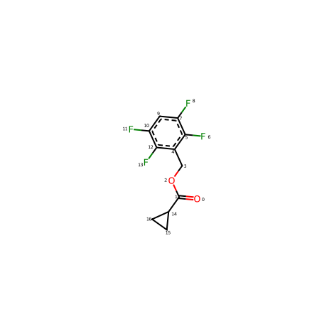 O=C(OCc1c(F)c(F)cc(F)c1F)C1CC1